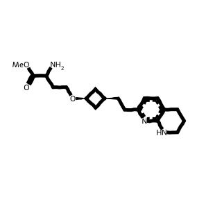 COC(=O)C(N)CCO[C@H]1C[C@@H](CCc2ccc3c(n2)NCCC3)C1